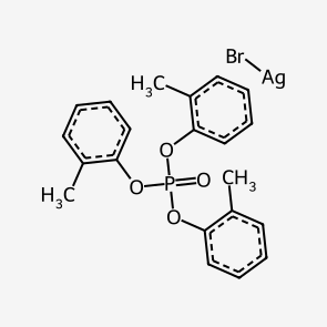 Cc1ccccc1OP(=O)(Oc1ccccc1C)Oc1ccccc1C.[Br][Ag]